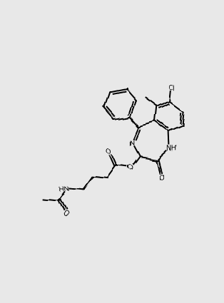 CC(=O)NCCCC(=O)OC1N=C(c2ccccc2)c2c(ccc(Cl)c2C)NC1=O